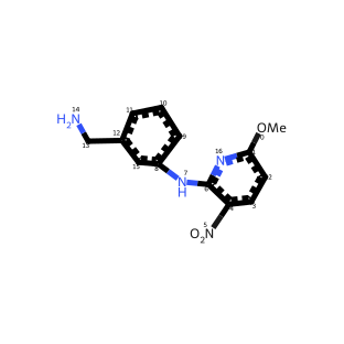 COc1ccc([N+](=O)[O-])c(Nc2cccc(CN)c2)n1